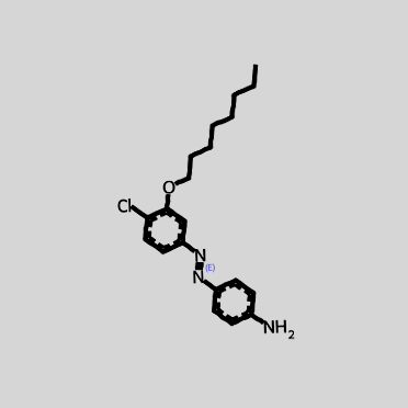 CCCCCCCCOc1cc(/N=N/c2ccc(N)cc2)ccc1Cl